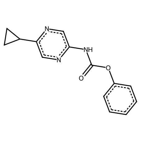 O=C(Nc1cnc(C2CC2)cn1)Oc1ccccc1